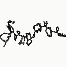 COC(=O)c1cccc(Nc2nccc(Oc3ccc(NC(=O)Nc4cc(O)nn4-c4ccc(C)cc4)c4ccccc34)n2)c1